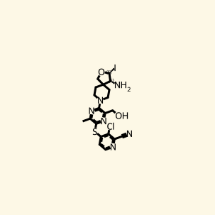 Cc1nc(N2CCC3(CC2)CO[C@@H](I)[C@H]3N)c(CO)nc1Sc1ccnc(C#N)c1Cl